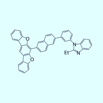 CCc1nc2ccccc2n1-c1cccc(-c2ccc3cc(-c4c5oc6ccccc6c5cc5c4oc4ccccc45)ccc3c2)c1